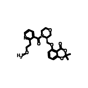 CC1(C)OC(=O)c2c(OC[C@@H]3COCCN3C(=O)c3cccnc3CCOP)cccc2O1